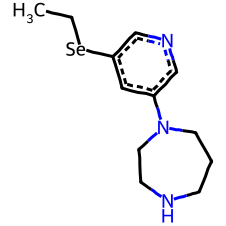 CC[Se]c1cncc(N2CCCNCC2)c1